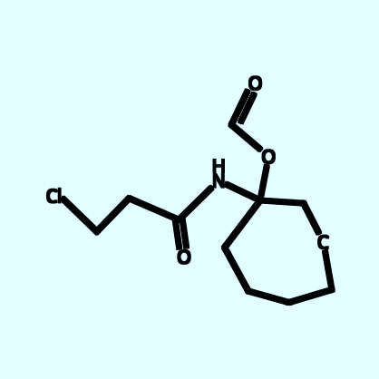 O=COC1(NC(=O)CCCl)CCCCCC1